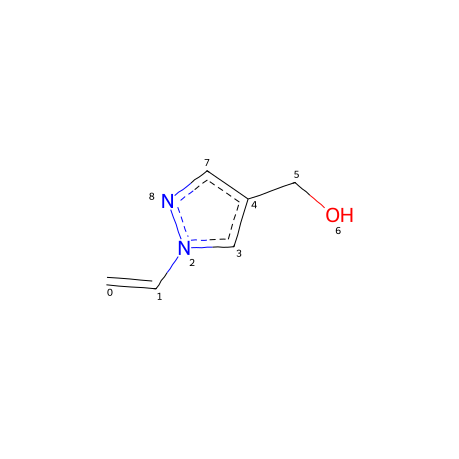 C=Cn1cc(CO)cn1